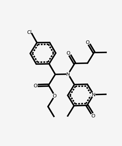 CCOC(=O)C(c1ccc(Cl)cc1)N(C(=O)CC(C)=O)c1cc(C)c(=O)n(C)c1